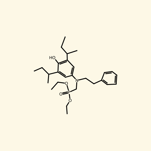 CCOP(=O)(CN(CCc1ccccc1)c1cc(C(C)CC)c(O)c(C(C)CC)c1)OCC